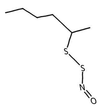 CCCCC(C)SSN=O